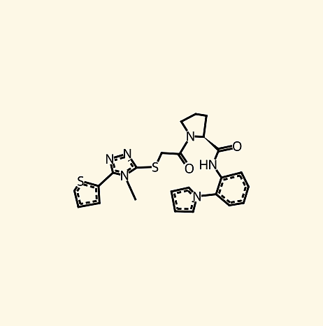 Cn1c(SCC(=O)N2CCC[C@H]2C(=O)Nc2ccccc2-n2cccc2)nnc1-c1cccs1